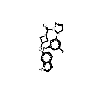 O=C(N1CC(Oc2ccc3cc[nH]c3c2)C1)N1N=CC[C@H]1c1cc(F)cc(F)c1